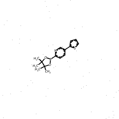 CC1(C)OB(c2ccc(-c3cccs3)cn2)OC1(C)C